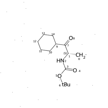 [CH2][C@H](NC(=O)OC(C)(C)C)C(=O)C1CCCCC1